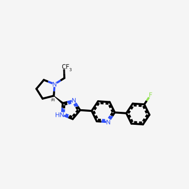 Fc1cccc(-c2ccc(-c3c[nH]c([C@H]4CCCN4CC(F)(F)F)n3)cn2)c1